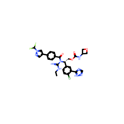 CCNC(=N)N(C(=O)c1ccc(-c2cnn(C(F)F)c2)cc1)[C@H](COC(=O)NC1COC1)c1ccc(Cl)c(-c2ncn[nH]2)c1